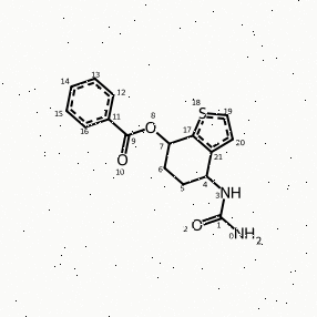 NC(=O)NC1CCC(OC(=O)c2ccccc2)c2sccc21